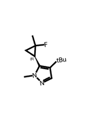 Cn1ncc(C(C)(C)C)c1[C@H]1CC1(C)F